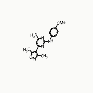 COc1ccc(Nc2nc(N)cc(-c3c(C)noc3C)n2)cc1